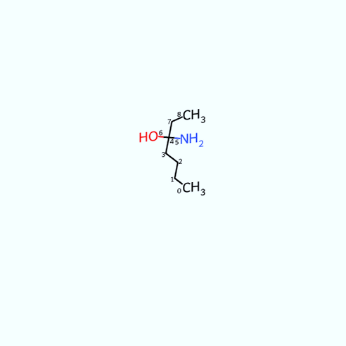 CCCCC(N)(O)CC